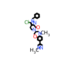 CN1C[C@H](N2CCc3c(nn(Cc4ccccc4)c3Cl)C2=O)COc2cc(-c3cnn(C)c3)ccc21